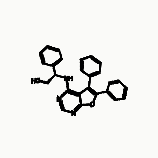 OC[C@H](Nc1ncnc2oc(-c3ccccc3)c(-c3ccccc3)c12)c1ccccc1